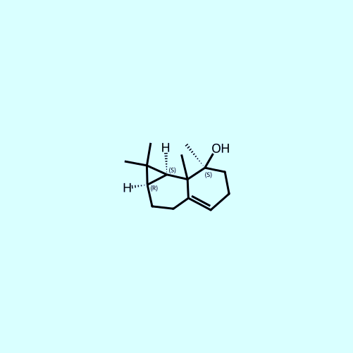 CC1(C)[C@@H]2CCC3=CCC[C@](C)(O)C3(C)[C@@H]21